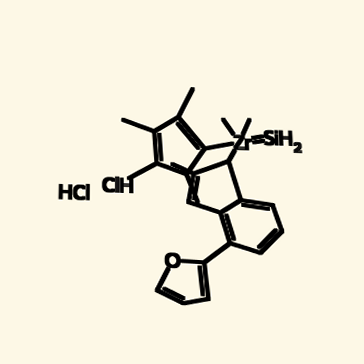 CC1=Cc2c(-c3ccco3)cccc2[CH]1[Zr]([CH3])([CH3])(=[SiH2])[C]1=C(C)C(C)=C(C)C1C.Cl.Cl